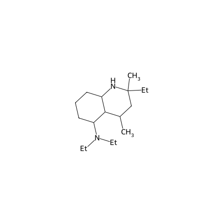 CCN(CC)C1CCCC2NC(C)(CC)CC(C)C21